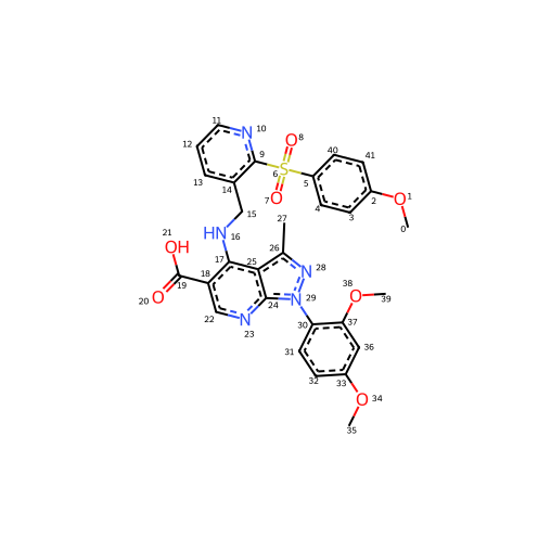 COc1ccc(S(=O)(=O)c2ncccc2CNc2c(C(=O)O)cnc3c2c(C)nn3-c2ccc(OC)cc2OC)cc1